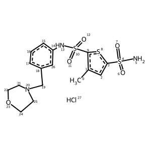 Cc1cc(S(N)(=O)=O)sc1S(=O)(=O)Nc1cccc(CN2CCOCC2)c1.Cl